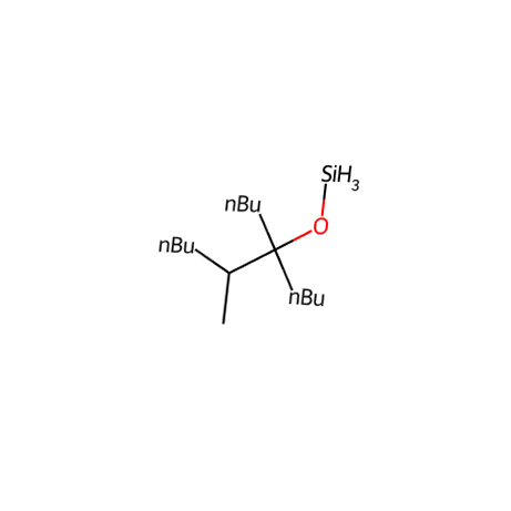 CCCCC(C)C(CCCC)(CCCC)O[SiH3]